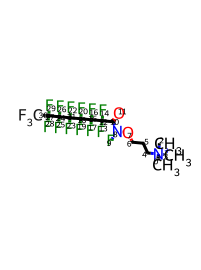 C[N+](C)(C)CCCON(F)C(=O)C(F)(F)C(F)(F)C(F)(F)C(F)(F)C(F)(F)C(F)(F)C(F)(F)F